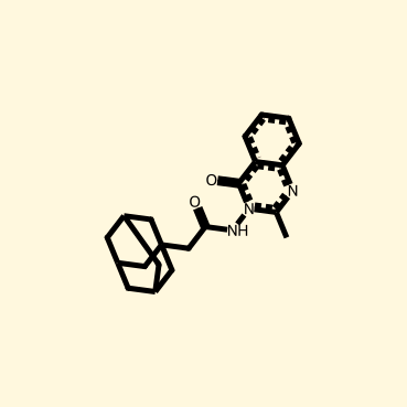 Cc1nc2ccccc2c(=O)n1NC(=O)CC12CC3CC(CC(C3)C1)C2